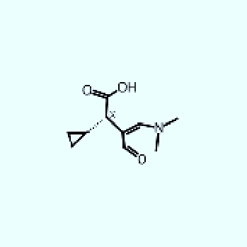 CN(C)C=C(C=O)[C@@H](C(=O)O)C1CC1